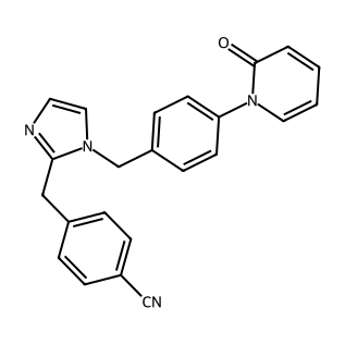 N#Cc1ccc(Cc2nccn2Cc2ccc(-n3ccccc3=O)cc2)cc1